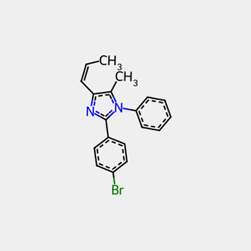 C/C=C\c1nc(-c2ccc(Br)cc2)n(-c2ccccc2)c1C